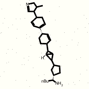 CCCCC(N)[C@H]1CCC(C2C3C(C4C=C[C@@H](C5=CCC(C6C=NCC6C)C=C5)CC4)[C@H]23)C1